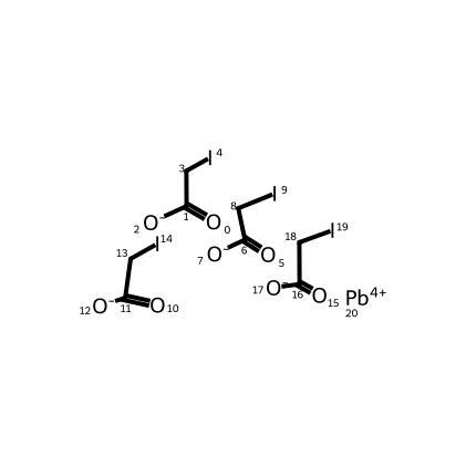 O=C([O-])CI.O=C([O-])CI.O=C([O-])CI.O=C([O-])CI.[Pb+4]